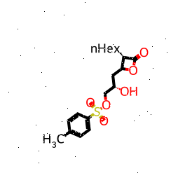 CCCCCC[C@@H]1C(=O)OC1C[C@H](O)COS(=O)(=O)c1ccc(C)cc1